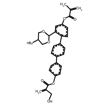 C=C(C)C(=O)Oc1ccc(-c2ccc(-c3ccc(OC(=O)C(=C)CO)cc3)cc2)c(C2OCC(CCCC)CO2)c1